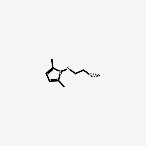 CSCCSn1c(C)ccc1C